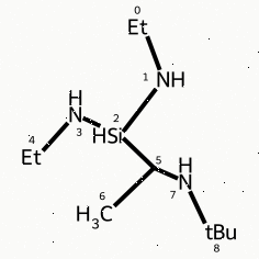 CCN[SiH](NCC)C(C)NC(C)(C)C